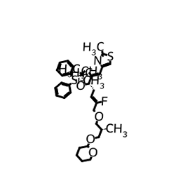 C/C(=C\c1csc(C)n1)[C@H](C/C=C(\F)COC[C@H](C)COC1CCCCO1)O[Si](c1ccccc1)(c1ccccc1)C(C)(C)C